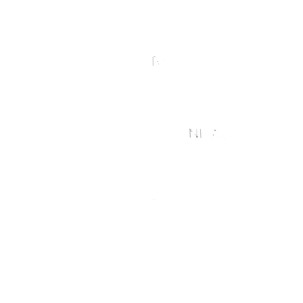 CC(=O)N[C](CBr)c1ccccc1